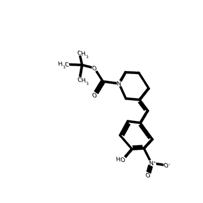 CC(C)(C)OC(=O)N1CCC/C(=C/c2ccc(O)c([N+](=O)[O-])c2)C1